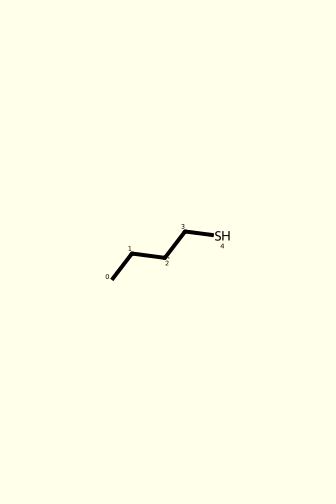 CC[CH]CS